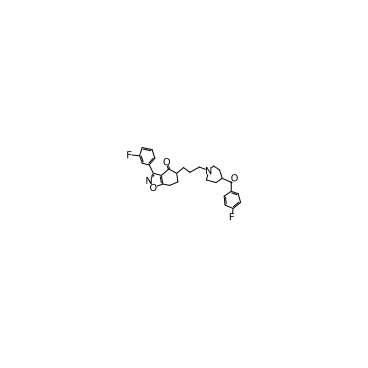 O=C(c1ccc(F)cc1)C1CCN(CCCC2CCc3onc(-c4cccc(F)c4)c3C2=O)CC1